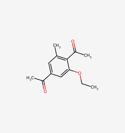 CCOc1cc(C(C)=O)cc(C)c1C(C)=O